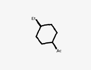 [CH2]C(=O)C1CCC(CC)CC1